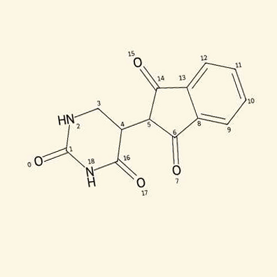 O=C1NCC(C2C(=O)c3ccccc3C2=O)C(=O)N1